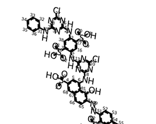 O=S(=O)(O)c1cc(Nc2nc(Cl)nc(Nc3cc(S(=O)(=O)O)c(Nc4nc(Cl)nc(Nc5ccccc5)n4)cc3S(=O)(=O)O)n2)c2c(O)c(/N=N/c3ccc4ccccc4c3S(=O)(=O)O)ccc2c1